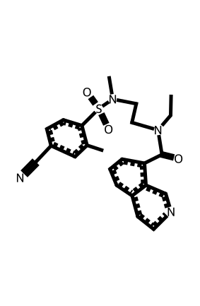 CCN(CCN(C)S(=O)(=O)c1ccc(C#N)cc1C)C(=O)c1cccc2ccncc12